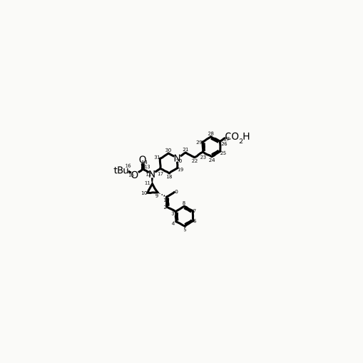 C/C(=C\c1ccccc1)[C@@H]1C[C@H]1N(C(=O)OC(C)(C)C)C1CCN(CCc2ccc(C(=O)O)cc2)CC1